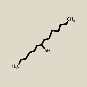 CCCCCCCC(S)CCCCCC